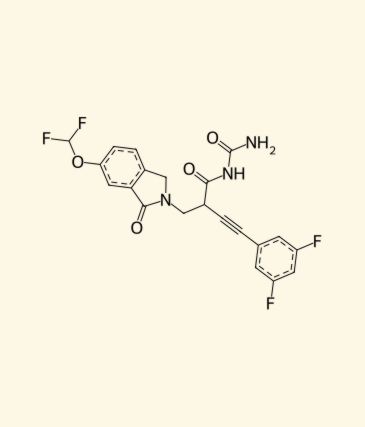 NC(=O)NC(=O)C(C#Cc1cc(F)cc(F)c1)CN1Cc2ccc(OC(F)F)cc2C1=O